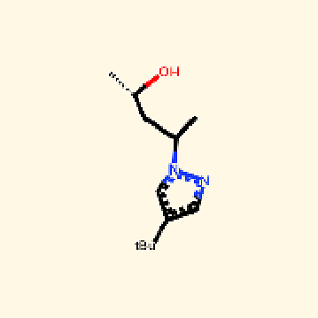 CC(C[C@H](C)O)n1cc(C(C)(C)C)cn1